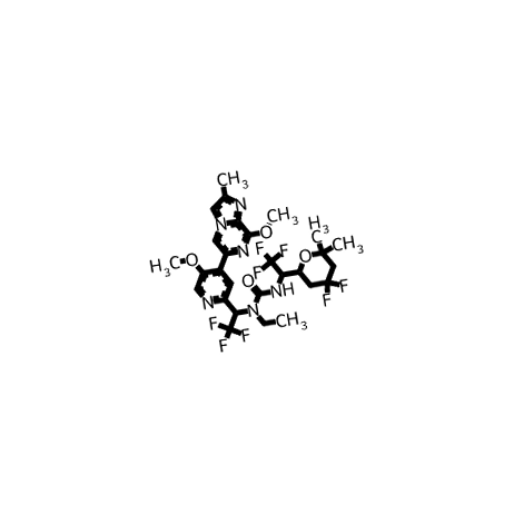 CCN(C(=O)NC(C1CC(F)(F)CC(C)(C)O1)C(F)(F)F)C(c1cc(-c2cn3cc(C)nc3c(OC)n2)c(OC)cn1)C(F)(F)F